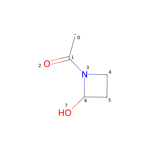 [CH2]C(=O)N1CCC1O